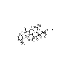 CCC(=O)NCCN1C(=O)C(C)(c2cccc(C(F)(F)F)c2)Oc2cc(C)c(C(=O)N(C(C)C)[C@@H]3CCCN(C(=O)O)C3)cc21